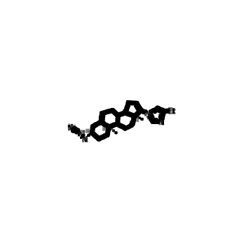 CCc1cn(C2=CCC3C4CC=C5C[C@@H](N=[N+]=[N-])CC[C@]5(C)C4CC[C@]23C)cn1